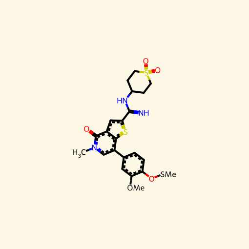 COc1cc(-c2cn(C)c(=O)c3cc(C(=N)NC4CCS(=O)(=O)CC4)sc23)ccc1OSC